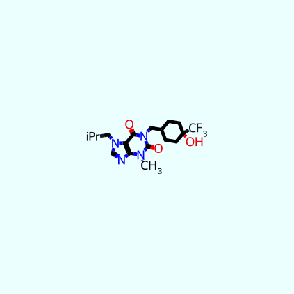 CC(C)Cn1cnc2c1c(=O)n(CC1CCC(O)(C(F)(F)F)CC1)c(=O)n2C